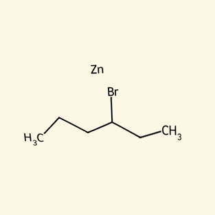 CCCC(Br)CC.[Zn]